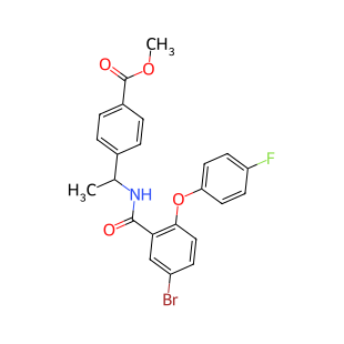 COC(=O)c1ccc(C(C)NC(=O)c2cc(Br)ccc2Oc2ccc(F)cc2)cc1